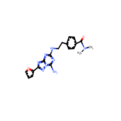 CN(C)C(=O)c1ccc(CCNc2nc(N)n3nc(-c4ccco4)nc3n2)cc1